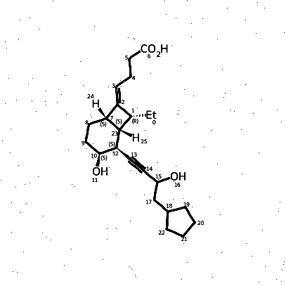 CC[C@H]1C(=CCCC(=O)O)[C@H]2CC[C@H](O)[C@H](C#CC(O)CC3CCCC3)[C@H]21